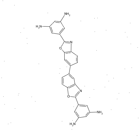 Nc1cc(N)cc(-c2nc3cc(-c4ccc5nc(-c6cc(N)cc(N)c6)oc5c4)ccc3o2)c1